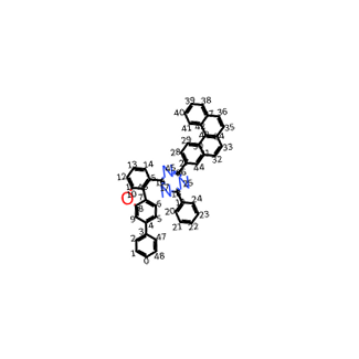 c1ccc(-c2ccc3c(c2)oc2cccc(-c4nc(-c5ccccc5)nc(-c5ccc6c(ccc7ccc8ccccc8c76)c5)n4)c23)cc1